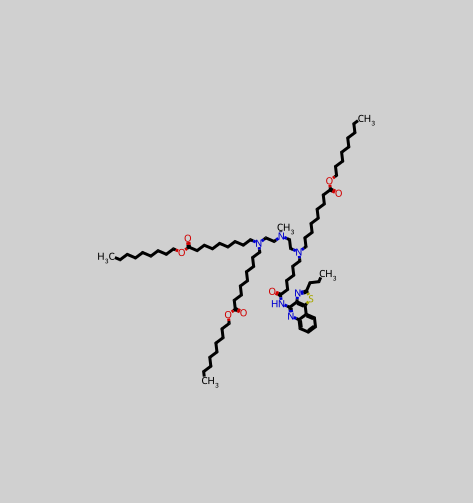 CCCCCCCCCOC(=O)CCCCCCCCN(CCCCCCCCC(=O)OCCCCCCCCC)CCN(C)CCN(CCCCCCCCC(=O)OCCCCCCCCC)CCCCCC(=O)Nc1nc2ccccc2c2sc(CCC)nc12